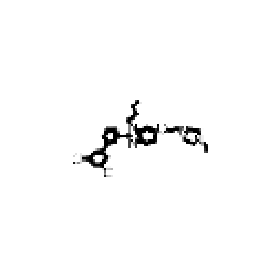 CCCCn1c(-c2cccc(-c3cc(Cl)cc(Cl)c3)c2)nc2ccc(OCCN3CCN(CC)CC3)cc21